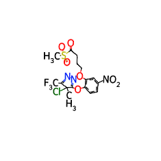 CC1(Cl)C(Oc2ccc([N+](=O)[O-])cc2OCCCC(=O)S(C)(=O)=O)=NN=C1C(F)(F)F